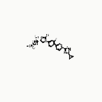 CC(OP(=O)(O)O)[C@H]1CN(c2ccc(-c3ccc(-c4nnn(C5CC5)n4)nc3)c(F)c2)C(=O)O1